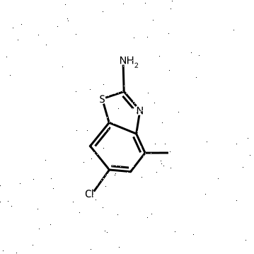 Cc1cc(Cl)cc2sc(N)nc12